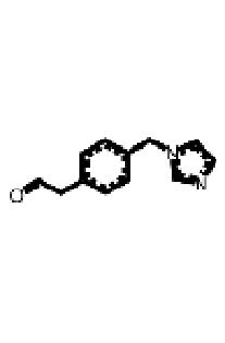 O=CCc1ccc(Cn2ccnc2)cc1